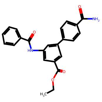 CCOC(=O)c1cc(NC(=O)c2ccccc2)cc(-c2ccc(C(N)=O)cc2)c1